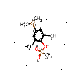 Cc1cc([S+](C)C)cc(C)c1OS(=O)(=O)C(F)(F)F